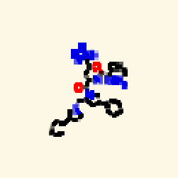 CC(N)C(=O)N[C@@H](CCc1nnn[nH]1)C(=O)N1C[C@@H](c2ccccc2)C[C@H]1CN1CC[C@@H](c2ccccc2)C1